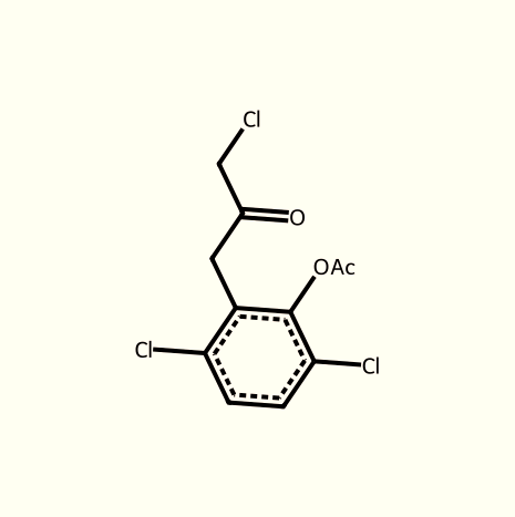 CC(=O)Oc1c(Cl)ccc(Cl)c1CC(=O)CCl